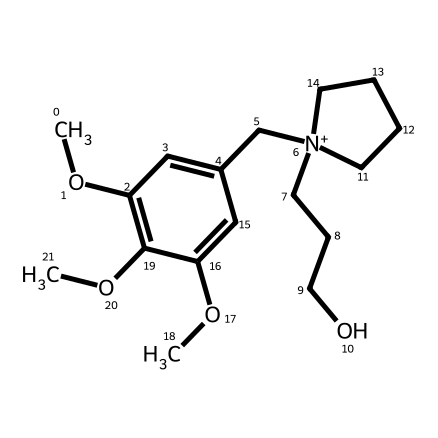 COc1cc(C[N+]2(CCCO)CCCC2)cc(OC)c1OC